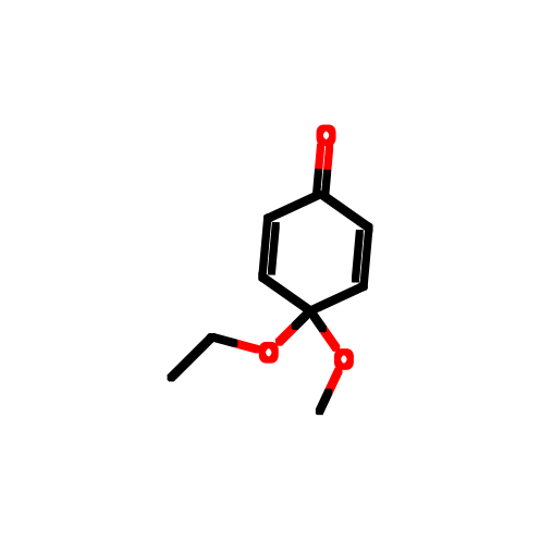 CCOC1(OC)C=CC(=O)C=C1